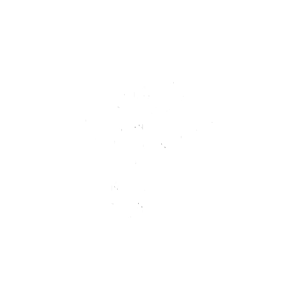 Cc1ccccc1-n1c(C(C)Sc2ncc[nH]2)nc2cccc(C)c2c1=O